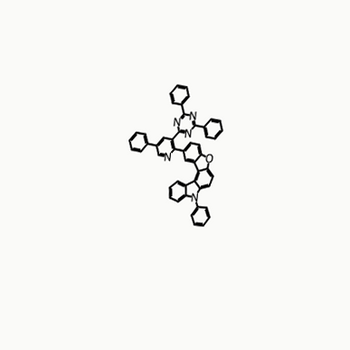 c1ccc(-c2cnc(-c3ccc4oc5ccc6c(c7ccccc7n6-c6ccccc6)c5c4c3)c(-c3nc(-c4ccccc4)nc(-c4ccccc4)n3)c2)cc1